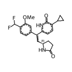 COc1cc(C(=C[C@H]2CCC(=O)N2)c2ccc(C3CC3)c(=O)[nH]2)ccc1C(F)F